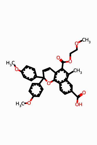 COCCOC(=O)c1c2c(c3ccc(C(=O)O)cc3c1C)OC(c1ccc(OC)cc1)(c1ccc(OC)cc1)C=C2